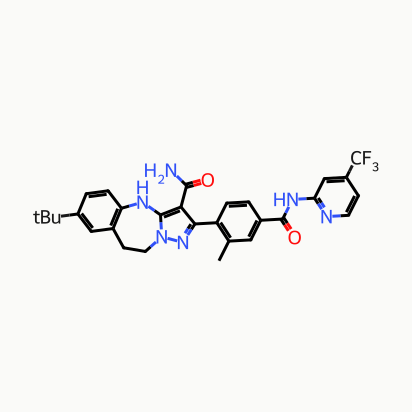 Cc1cc(C(=O)Nc2cc(C(F)(F)F)ccn2)ccc1-c1nn2c(c1C(N)=O)Nc1ccc(C(C)(C)C)cc1CC2